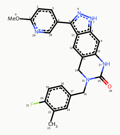 COc1ccc(-c2n[nH]c3cc4c(cc23)CN(Cc2ccc(F)c(C)c2)C(=O)N4)cn1